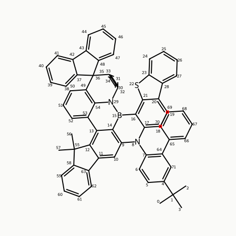 CC(C)(C)c1ccc(N2c3cc4c(c5c3B(c3c2ccc2c3sc3ccccc32)N2c3ccccc3C3(c6ccccc6-c6ccccc63)c3cccc-5c32)C(C)(C)c2ccccc2-4)c(-c2ccccc2)c1